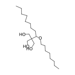 CCCCCCCCOC(CCCCCCCC)C(CO)(CO)CO